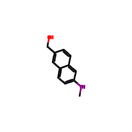 CPc1ccc2cc(CO)ccc2c1